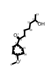 COc1ccc(C(=O)CCCCC(C)O)cc1